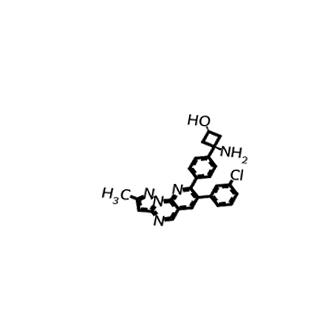 Cc1cc2ncc3cc(-c4cccc(Cl)c4)c(-c4ccc([C@]5(N)C[C@H](O)C5)cc4)nc3n2n1